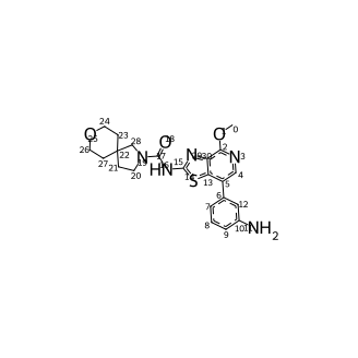 COc1ncc(-c2cccc(N)c2)c2sc(NC(=O)N3CCC4(CCOCC4)C3)nc12